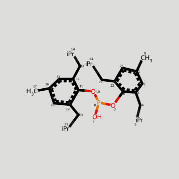 Cc1cc(CC(C)C)c(OP(O)Oc2c(CC(C)C)cc(C)cc2CC(C)C)c(CC(C)C)c1